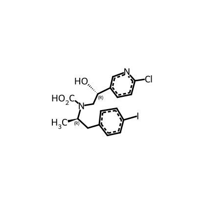 C[C@H](Cc1ccc(I)cc1)N(C[C@H](O)c1ccc(Cl)nc1)C(=O)O